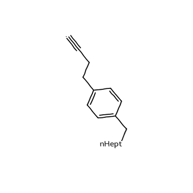 [C]#CCCc1ccc(CCCCCCCC)cc1